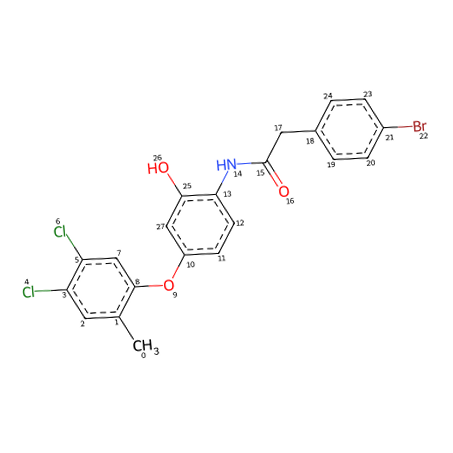 Cc1cc(Cl)c(Cl)cc1Oc1ccc(NC(=O)Cc2ccc(Br)cc2)c(O)c1